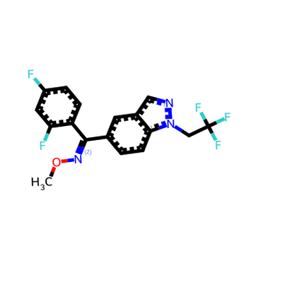 CO/N=C(/c1ccc2c(cnn2CC(F)(F)F)c1)c1ccc(F)cc1F